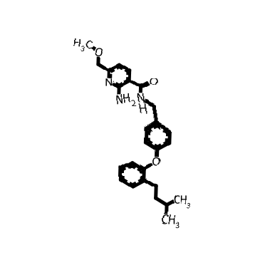 COCc1ccc(C(=O)NCc2ccc(Oc3ccccc3CCC(C)C)cc2)c(N)n1